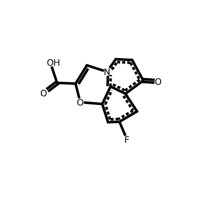 O=C(O)C1=Cn2ccc(=O)c3cc(F)cc(c32)O1